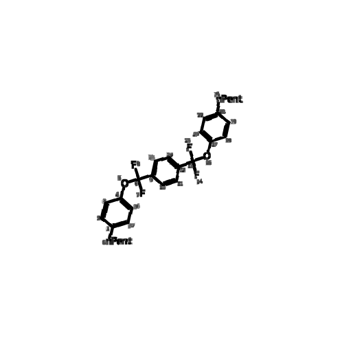 CCCCCc1ccc(OC(F)(F)c2ccc(C(F)(F)Oc3ccc(CCCCC)cc3)cc2)cc1